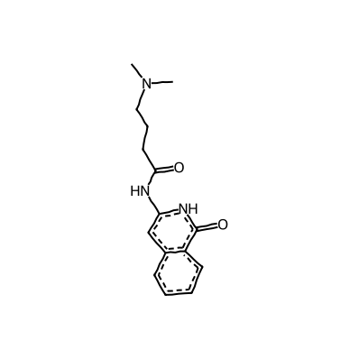 CN(C)CCCC(=O)Nc1cc2ccccc2c(=O)[nH]1